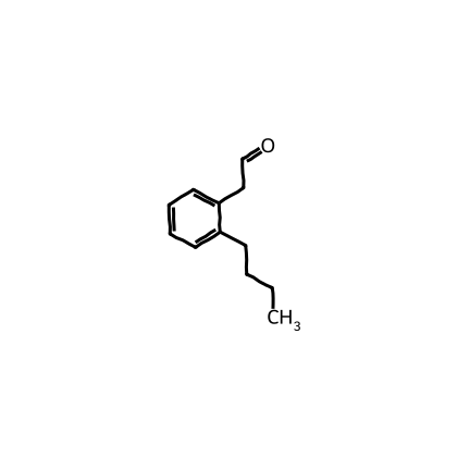 CCCCc1ccccc1CC=O